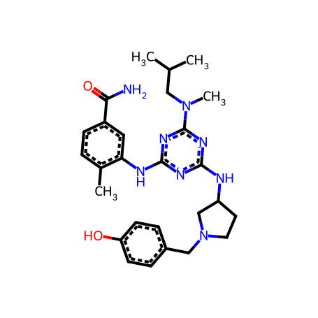 Cc1ccc(C(N)=O)cc1Nc1nc(NC2CCN(Cc3ccc(O)cc3)C2)nc(N(C)CC(C)C)n1